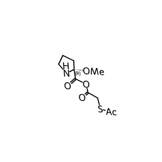 CO[C@@]1(C(=O)OC(=O)CSC(C)=O)CCCN1